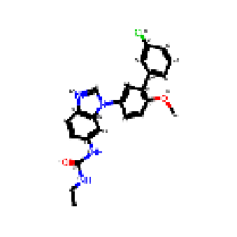 CCNC(=O)Nc1ccc2ncn(-c3ccc(OC)c(-c4cccc(Cl)c4)c3)c2c1